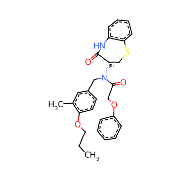 CCCOc1ccc(CN(C(=O)COc2ccccc2)[C@H]2CSc3ccccc3NC2=O)cc1C